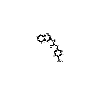 CC(C)(C)c1ccc(CC(=O)Nc2cnc3ccccc3c2)cc1